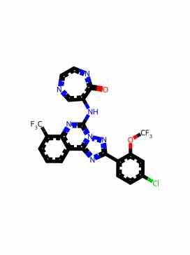 O=c1nccncc1Nc1nc2c(C(F)(F)F)cccc2c2nc(-c3ccc(Cl)cc3OC(F)(F)F)nn12